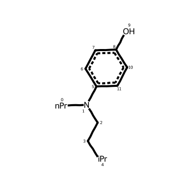 CCCN(CCC(C)C)c1ccc(O)cc1